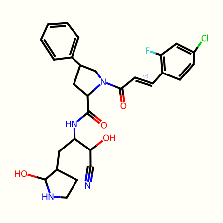 N#CC(O)C(CC1CCNC1O)NC(=O)C1CC(c2ccccc2)CN1C(=O)/C=C/c1ccc(Cl)cc1F